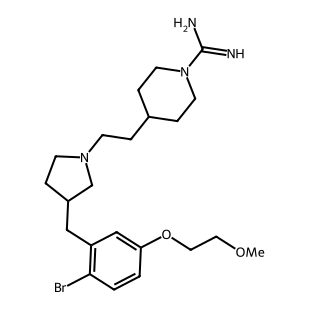 COCCOc1ccc(Br)c(CC2CCN(CCC3CCN(C(=N)N)CC3)C2)c1